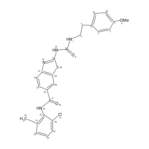 COc1ccc(CCNC(=O)Nc2nc3ccc(C(=O)Nc4c(C)cccc4Cl)cc3s2)cc1